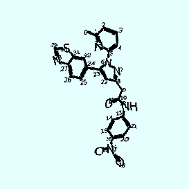 Cc1cccc(-n2nc(CC(=O)Nc3ccc([N+](=O)[O-])cc3)cc2-c2ccc3ncsc3c2)n1